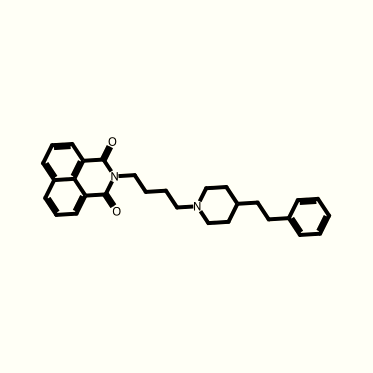 O=C1c2cccc3cccc(c23)C(=O)N1CCCCN1CCC(CCc2ccccc2)CC1